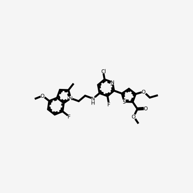 CCOc1cc(-c2nc(Cl)cc(NCCn3c(C)cc4c(OC)ccc(F)c43)c2F)sc1C(=O)OC